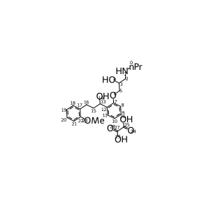 CCCNCC(O)COc1ccccc1C(O)CCc1ccccc1OC.O=C(O)C(=O)O